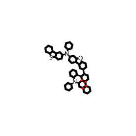 c1ccc(-c2ccc(-c3ccc4oc5cc(N(c6ccccc6)c6ccc7sc8ccccc8c7c6)ccc5c4c3)c(-c3ccccc3N(c3ccccc3)c3ccccc3)c2)cc1